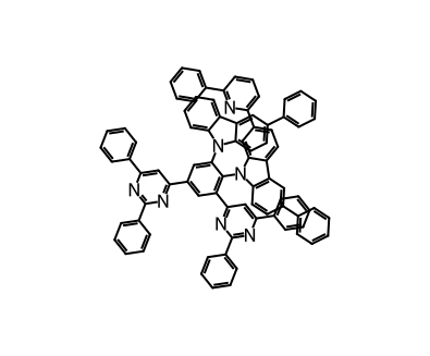 c1ccc(-c2ccc3c(c2)c2ccccc2n3-c2cc(-c3cc(-c4ccccc4)nc(-c4ccccc4)n3)cc(-c3cc(-c4ccccc4)nc(-c4ccccc4)n3)c2-n2c3ccc(-c4ccccc4)cc3c3ccc(-c4cccc(-c5ccccc5)n4)cc32)cc1